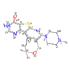 CN1CCN(c2nc3sc4c(=O)[nH]cnc4c3c3c2COC(C)(C)C3)CC1